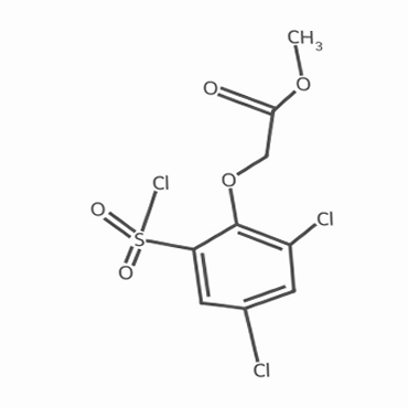 COC(=O)COc1c(Cl)cc(Cl)cc1S(=O)(=O)Cl